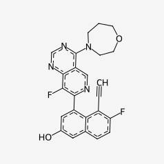 C#Cc1c(F)ccc2cc(O)cc(-c3ncc4c(N5CCCOCC5)ncnc4c3F)c12